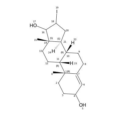 C[C@]12CCC(O)C=C1CC[C@@H]1[C@H]2CC[C@]2(C)C(O)C(I)C[C@@H]12